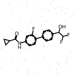 O=C(Nc1ccc(-c2ccc(C(O)C(F)F)cc2)c(F)c1)C1CC1